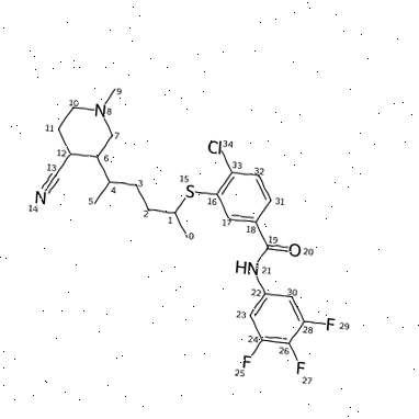 CC(CCC(C)C1CN(C)CCC1C#N)Sc1cc(C(=O)Nc2cc(F)c(F)c(F)c2)ccc1Cl